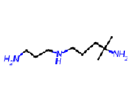 CC(C)(N)CCCNCCCN